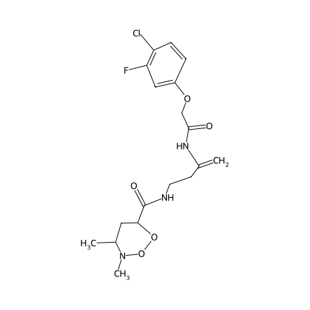 C=C(CCNC(=O)C1CC(C)N(C)OO1)NC(=O)COc1ccc(Cl)c(F)c1